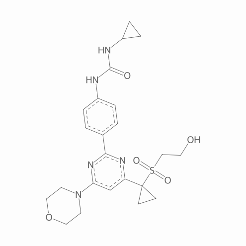 O=C(Nc1ccc(-c2nc(N3CCOCC3)cc(C3(S(=O)(=O)CCO)CC3)n2)cc1)NC1CC1